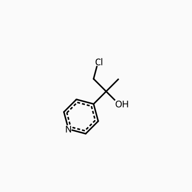 CC(O)(CCl)c1ccncc1